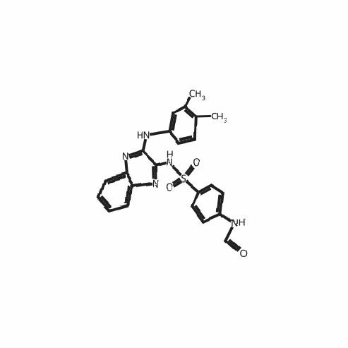 Cc1ccc(Nc2nc3ccccc3nc2NS(=O)(=O)c2ccc(NC=O)cc2)cc1C